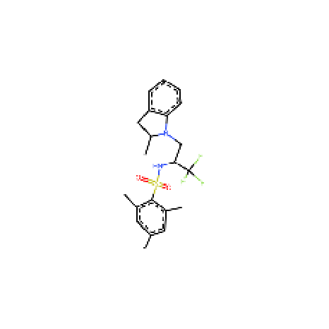 Cc1cc(C)c(S(=O)(=O)NC(CN2c3ccccc3CC2C)C(F)(F)F)c(C)c1